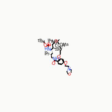 COCCCCOc1cc(OCCN2CCOCC2)ccc1C(=O)NC[C@@H](C[C@H](NC(=O)OC(C)(C)C)[C@@H](C[C@@](O[SiH](C)C)(C(=O)O)C(C)C)C(C)(C)C)C(C)C